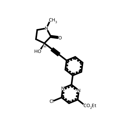 CCOC(=O)c1cc(Cl)nc(-c2cccc(C#C[C@]3(O)CCN(C)C3=O)c2)n1